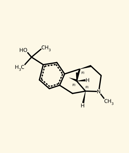 CN1CC[C@]23CCCC[C@H]2[C@H]1Cc1ccc(C(C)(C)O)cc13